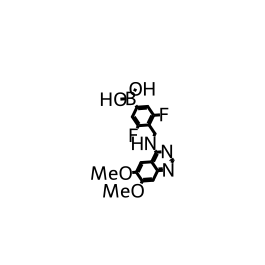 COc1cc2ncnc(NCc3c(F)cc(B(O)O)cc3F)c2cc1OC